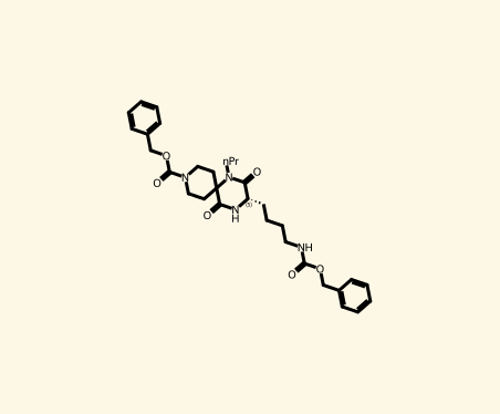 CCCN1C(=O)[C@H](CCCCNC(=O)OCc2ccccc2)NC(=O)C12CCN(C(=O)OCc1ccccc1)CC2